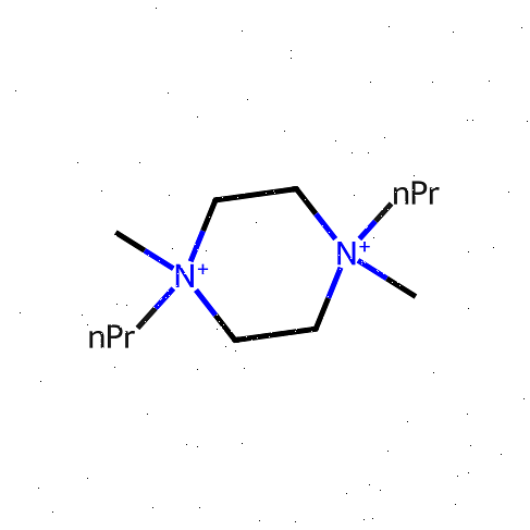 CCC[N+]1(C)CC[N+](C)(CCC)CC1